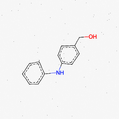 OCc1ccc(Nc2[c]cccc2)cc1